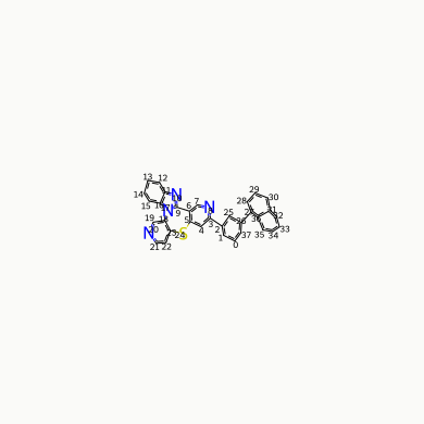 c1cc(-c2cc3c(cn2)-c2nc4ccccc4n2-c2cnccc2S3)cc(-c2cccc3ccccc23)c1